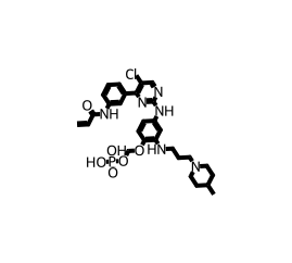 C=CC(=O)Nc1cccc(-c2nc(Nc3ccc(OCOP(=O)(O)O)c(NCCCN4CCC(C)CC4)c3)ncc2Cl)c1